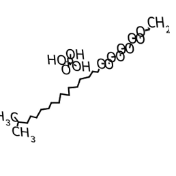 C=COOOOOOOOOCCCCCCCCCCCCCCCC(C)C.O=P(O)(O)O